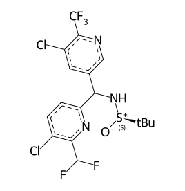 CC(C)(C)[S@@+]([O-])NC(c1cnc(C(F)(F)F)c(Cl)c1)c1ccc(Cl)c(C(F)F)n1